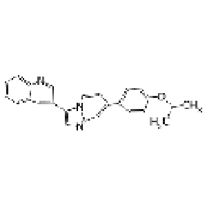 CC(C)Oc1ccc(-c2ccn3c(-c4cnc5ccccc5c4)cnc3c2)cc1